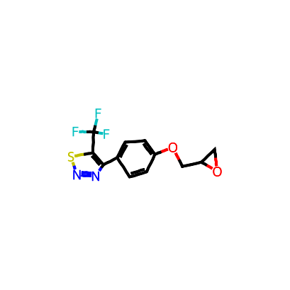 FC(F)(F)c1snnc1-c1ccc(OCC2CO2)cc1